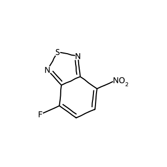 O=[N+]([O-])c1ccc(F)c2nsnc12